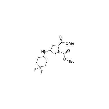 COC(=O)[C@@H]1C[C@H](NC2CCC(F)(F)CC2)CN1C(=O)OC(C)(C)C